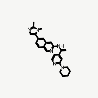 C=C(Nc1cc2cc(-c3cnc(C)n3C)ccc2cn1)c1ccnc(N2CCCCC2)c1